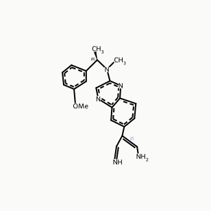 COc1cccc([C@@H](C)N(C)c2cnc3cc(/C(C=N)=C/N)ccc3n2)c1